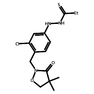 CCC(=S)NNc1ccc(CN2OCC(C)(C)C2=O)c(Cl)c1